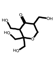 O=C1C(CO)COC(CO)(CO)C1CO